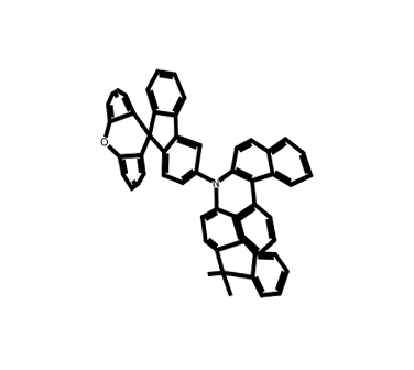 CC1(C)c2ccccc2-c2cc(N(c3ccc4c(c3)-c3ccccc3C43c4ccccc4Oc4ccccc43)c3ccc4ccccc4c3-c3ccccc3)ccc21